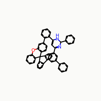 C1=C(c2ccccc2-c2ccc3c(c2)Oc2ccccc2C32c3ccccc3-c3ccccc32)NC(c2ccccc2)N=C1c1cccc(-c2ccccc2)c1